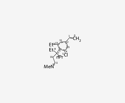 C=Cc1cc(Cl)c(C(CC)(CCC)CCNC)c(CC)c1